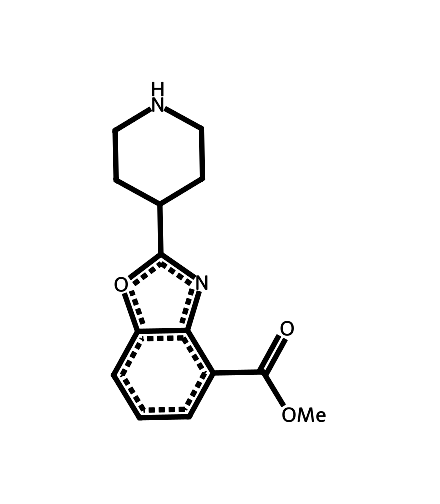 COC(=O)c1cccc2oc(C3CCNCC3)nc12